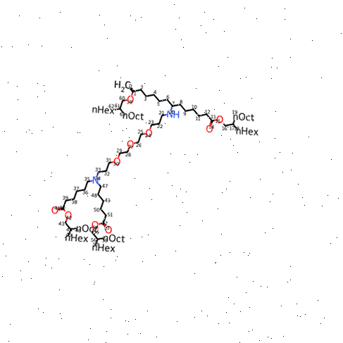 C=C(CCCCCC(CCCCCC(=O)OCC(CCCCCC)CCCCCCCC)NCCCOCCOCCOCCCN(CCCCCC(=O)OCC(CCCCCC)CCCCCCCC)CCCCCC(=O)OCC(CCCCCC)CCCCCCCC)OCC(CCCCCC)CCCCCCCC